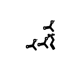 C=C[CH2][Sn+3].CC(=O)[O-].CC(=O)[O-].CC(=O)[O-]